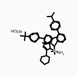 CCC1=Cc2c(-c3ccc(C(C)C)cc3)cccc2[CH]1[Zr]([CH3])([CH3])(=[SiH2])[CH]1C(C2CCCCC2)=Cc2c(-c3ccc(C(C)(C)C)cc3)cccc21.Cl.Cl